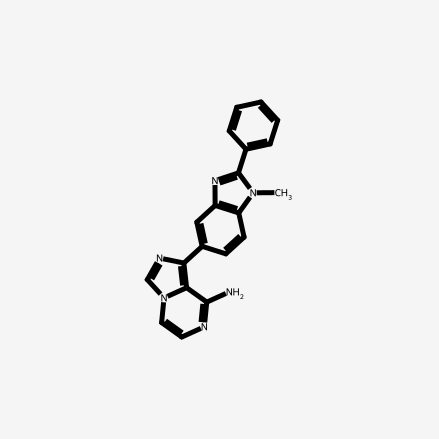 Cn1c(-c2ccccc2)nc2cc(-c3ncn4ccnc(N)c34)ccc21